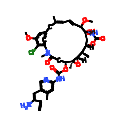 C=C/C(N)=C\c1cnc(NC(=O)O[C@H]2CC(=O)N(C)c3cc(cc(OC)c3Cl)C/C(C)=C/C=C/[C@@H](OC)[C@@]3(O)C[C@H](OC(=O)N3)[C@@H](C)[C@@H]3O[C@@]23C)cc1C